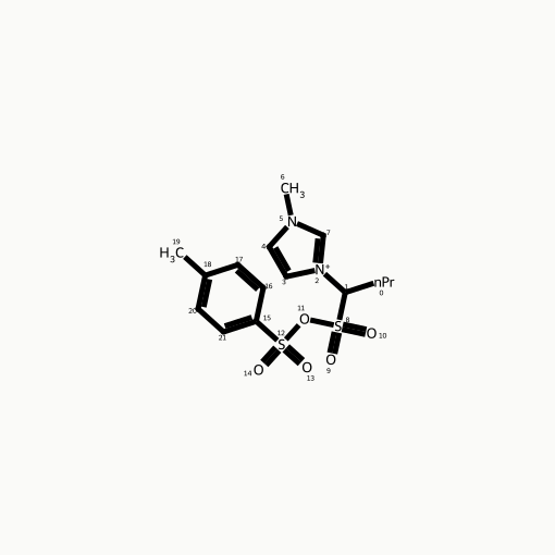 CCCC([n+]1ccn(C)c1)S(=O)(=O)OS(=O)(=O)c1ccc(C)cc1